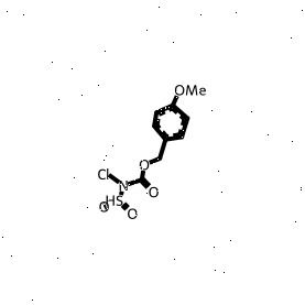 COc1ccc(COC(=O)N(Cl)[SH](=O)=O)cc1